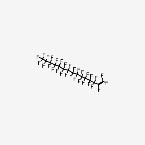 FC(F)=C(F)C(F)(F)C(F)(F)C(F)(F)C(F)(F)C(F)(F)C(F)(F)C(F)(F)C(F)(F)C(F)(F)C(F)(F)C(F)(F)C(F)(F)C(F)(F)F